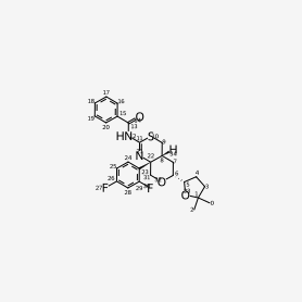 CC1(C)CCC([C@H]2C[C@H]3CSC(NC(=O)c4ccccc4)=N[C@@]3(c3ccc(F)cc3F)CO2)O1